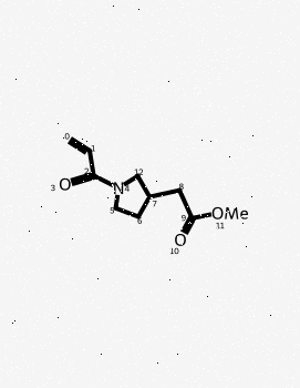 C=CC(=O)N1CCC(CC(=O)OC)C1